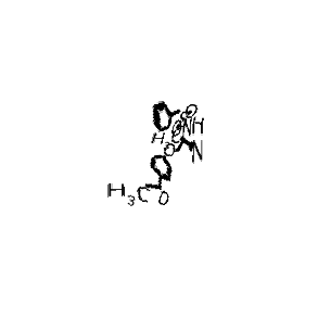 CCC(=O)c1ccc(OCC(C)(C#N)NS(=O)(=O)Cc2ccccc2)cc1